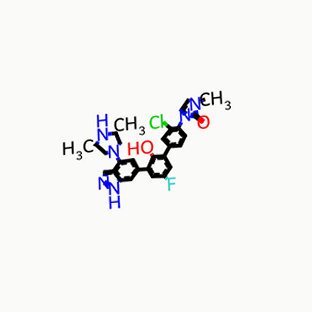 C[C@@H]1CN(c2cc(-c3cc(F)cc(-c4ccc(-n5ccn(C)c5=O)c(Cl)c4)c3O)cc3[nH]ncc23)C[C@H](C)N1